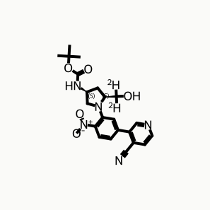 [2H]C([2H])(O)[C@@H]1C[C@H](NC(=O)OC(C)(C)C)CN1c1cc(-c2cnccc2C#N)ccc1[N+](=O)[O-]